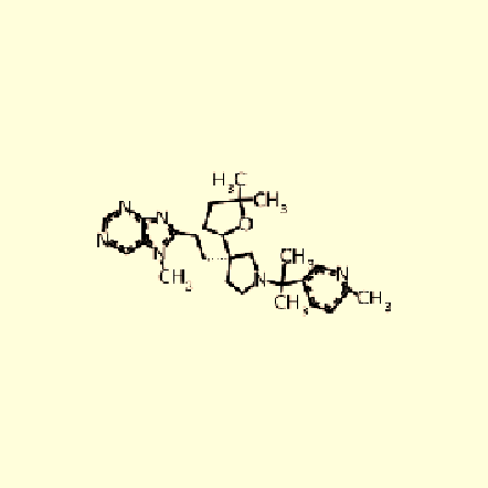 Cc1ccc(C(C)(C)N2CC[C@@](CCc3nc4ncncc4n3C)([C@H]3CCC(C)(C)O3)C2)cn1